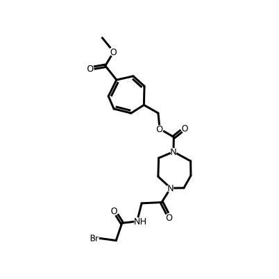 COC(=O)C1=CC=CC(COC(=O)N2CCCN(C(=O)CNC(=O)CBr)CC2)C=C1